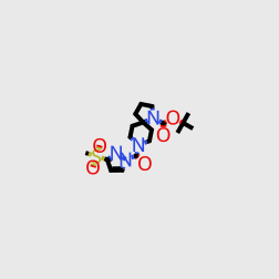 CC(C)(C)OC(=O)N1CCCC12CCN(C(=O)n1ccc(S(C)(=O)=O)n1)CC2